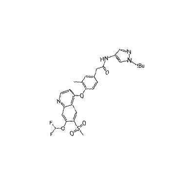 Cc1cc(CC(=O)Nc2cnn(C(C)(C)C)c2)ccc1Oc1ccnc2cc(OC(F)F)c(S(C)(=O)=O)cc12